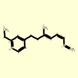 C=N/C=C\C=C(/C)CCc1ccnc(CC)c1